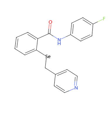 O=C(Nc1ccc(F)cc1)c1ccccc1[Se]Cc1ccncc1